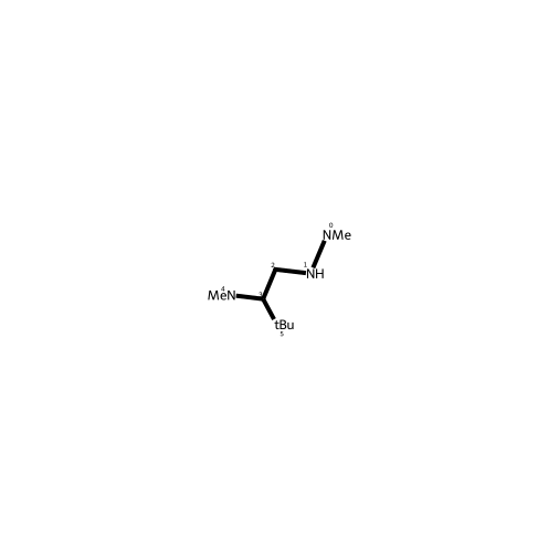 CNNCC(NC)C(C)(C)C